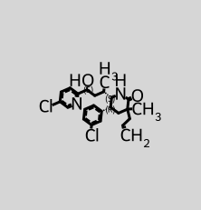 C=CCC1(C)C[C@H](c2cccc(Cl)c2)[C@H](C(C)C[C@H](O)c2ccc(Cl)cn2)NC1=O